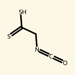 O=C=NCC(=S)S